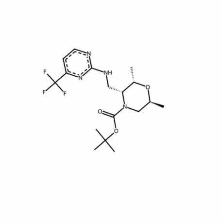 C[C@@H]1O[C@@H](C)CN(C(=O)OC(C)(C)C)[C@@H]1CNc1nccc(C(F)(F)F)n1